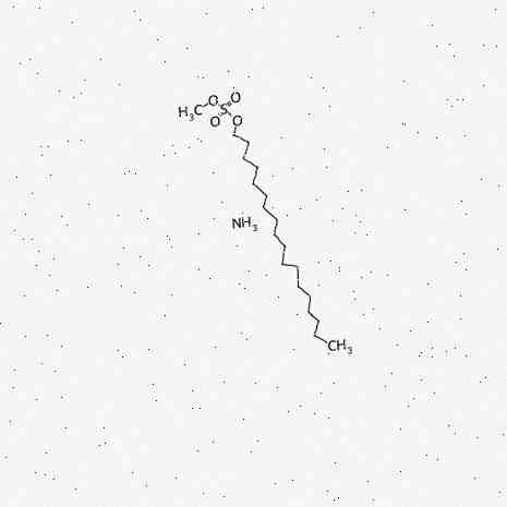 CCCCCCCCCCCCCCCCCCOS(=O)(=O)OC.N